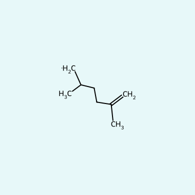 [CH2]C(C)CCC(=C)C